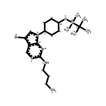 CCCCNc1ncc2c(Br)cn(C3CCC(O[Si](C)(C)C(C)(C)C)CC3)c2n1